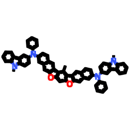 Cc1c2c(cc3oc4cc5cc(N(c6ccccc6)c6ccc7c(c6)c6ccccc6n7C)ccc5cc4c13)oc1cc3cc(N(c4ccccc4)c4ccc5c(c4)c4ccccc4n5C)ccc3cc12